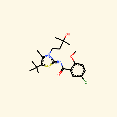 COc1ccc(Cl)cc1C(=O)/N=c1\sc(C(C)(C)C)c(C)n1CCC(C)(C)O